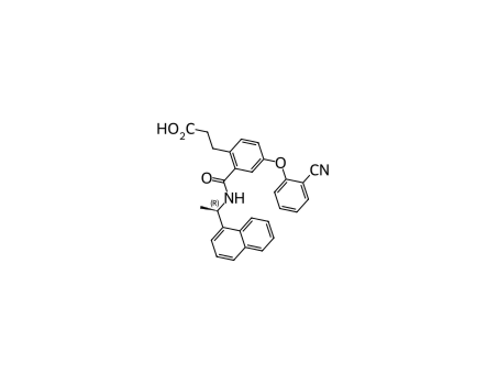 C[C@@H](NC(=O)c1cc(Oc2ccccc2C#N)ccc1CCC(=O)O)c1cccc2ccccc12